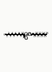 CCCCCCCCCC/C=C(\C=O)OCOCCCCCCCCCC